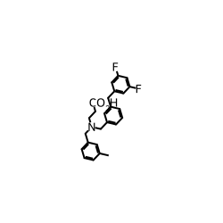 Cc1cccc(CN(CCC(=O)O)Cc2cccc(Cc3cc(F)cc(F)c3)c2)c1